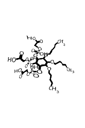 CCCCCOC1C(OCCCCC)C(OP(=O)(O)OCC(=O)O)C(OP(=O)(O)OCC(=O)O)C(OP(=O)(O)OCC(=O)O)C1OCCCCC